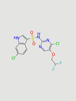 O=S(=O)(Nc1ncc(OCC(F)F)c(Cl)n1)c1c[nH]c2cc(Cl)ccc12